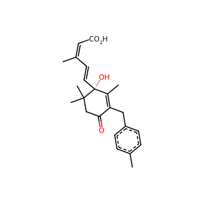 CC1=C(Cc2ccc(C)cc2)C(=O)CC(C)(C)[C@@]1(O)/C=C/C(C)=C\C(=O)O